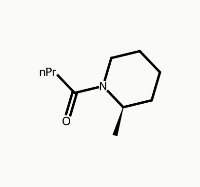 CCCC(=O)N1CCCC[C@H]1C